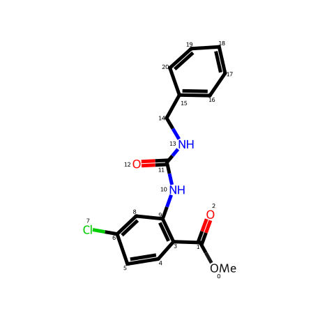 COC(=O)c1ccc(Cl)cc1NC(=O)NCc1ccccc1